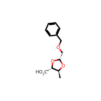 C[C@@H]1O[C@@H](COCc2ccccc2)O[C@H]1C(=O)O